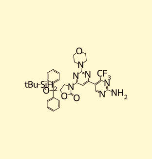 CC(C)(C)[SiH2]OC(c1ccccc1)(c1ccccc1)[C@@H]1CN(c2cc(-c3cnc(N)nc3C(F)(F)F)nc(N3CCOCC3)n2)C(=O)O1